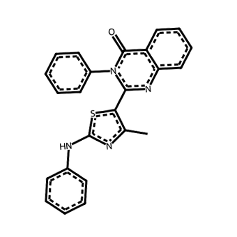 Cc1nc(Nc2ccccc2)sc1-c1nc2ccccc2c(=O)n1-c1ccccc1